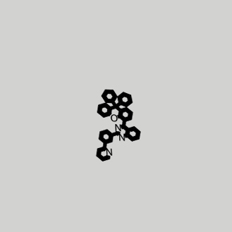 c1ccc(C2(c3ccccc3)c3ccccc3Oc3c(-c4nc(-c5cccc(-c6ccccn6)c5)nc5ccccc45)cccc32)cc1